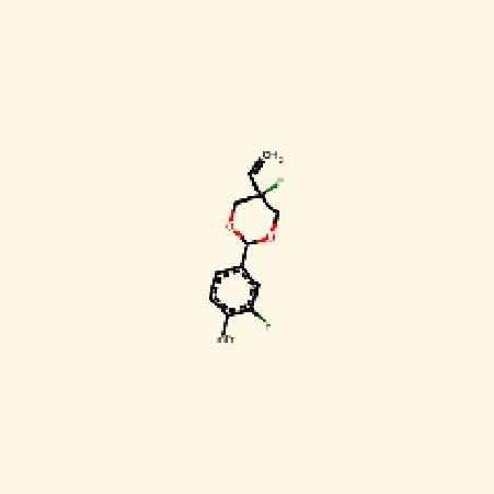 C=CC1(F)COC(c2ccc(CCC)c(F)c2)OC1